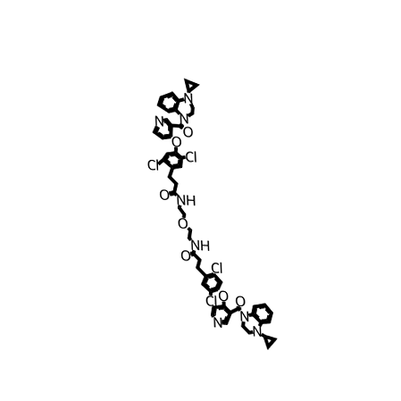 O=C(CCc1cc(Cl)c(Oc2ccncc2C(=O)N2CCN(C3CC3)c3ccccc32)cc1Cl)NCCOCCNC(=O)CCc1cc(Cl)c(Oc2ccncc2C(=O)N2CCN(C3CC3)c3ccccc32)cc1Cl